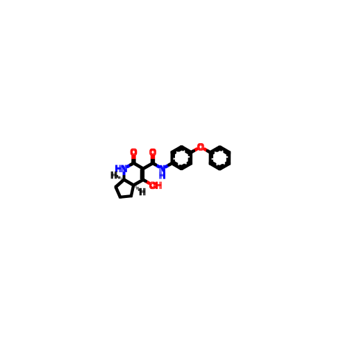 O=C(Nc1ccc(Oc2ccccc2)cc1)C1=C(O)[C@H]2CCC[C@H]2NC1=O